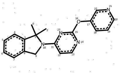 CC1(C)c2ccccc2CN1c1ccnc(Oc2cccnc2)n1